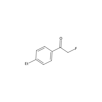 CCc1ccc(C(=O)CF)cc1